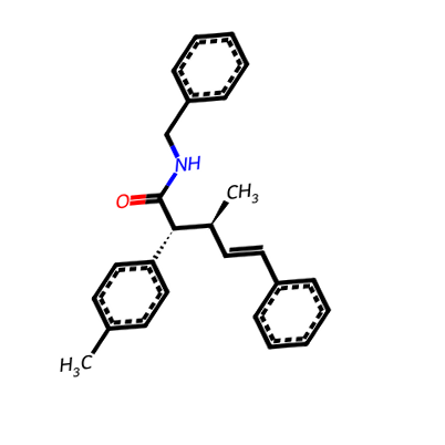 Cc1ccc([C@H](C(=O)NCc2ccccc2)[C@@H](C)/C=C/c2ccccc2)cc1